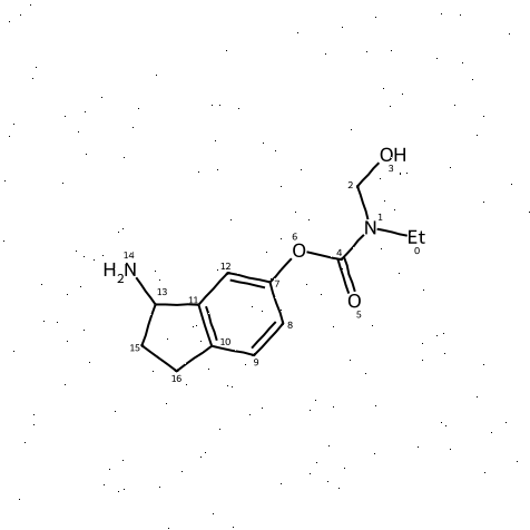 CCN(CO)C(=O)Oc1ccc2c(c1)C(N)CC2